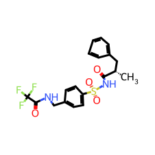 C[C@@H](Cc1ccccc1)C(=O)NS(=O)(=O)c1ccc(CNC(=O)C(F)(F)F)cc1